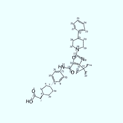 O=C(O)C[C@H]1CC[C@H](c2ccc(NC(=O)c3oc(N4CCC(c5ccccc5)CC4)nc3C(F)(F)F)cc2)CC1